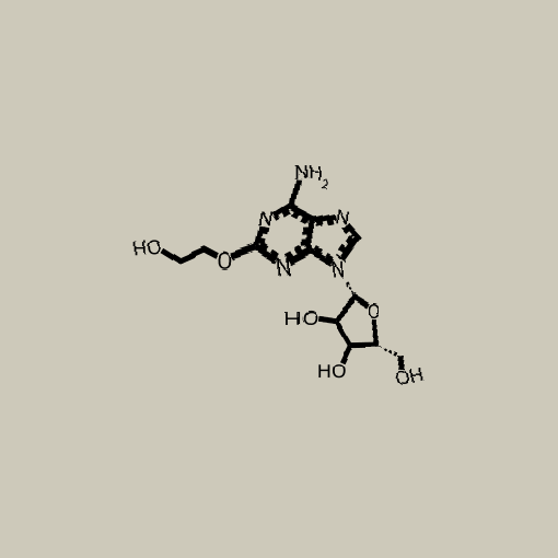 Nc1nc(OCCO)nc2c1ncn2[C@@H]1O[C@H](CO)C(O)C1O